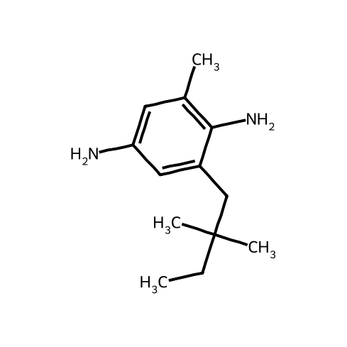 CCC(C)(C)Cc1cc(N)cc(C)c1N